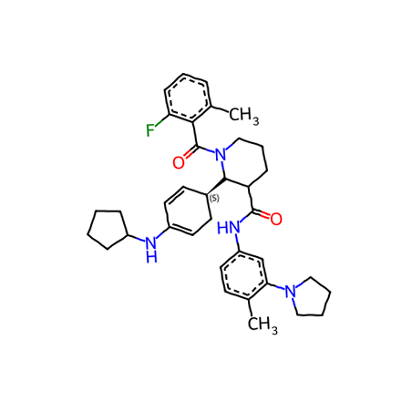 Cc1ccc(NC(=O)C2CCCN(C(=O)c3c(C)cccc3F)C2[C@@H]2C=CC(NC3CCCC3)=CC2)cc1N1CCCC1